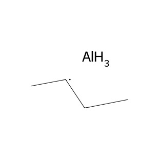 C[CH]CC.[AlH3]